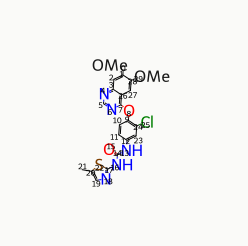 COc1cc2ncnc(Oc3ccc(NC(=O)Nc4ncc(C)s4)cc3Cl)c2cc1OC